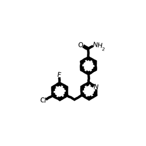 NC(=O)c1ccc(-c2cc(Cc3cc(F)cc(Cl)c3)ccn2)cc1